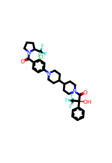 O=C(c1ccc(N2CCC(C3CCN(C(=O)[C@](O)(c4ccccc4)C(F)(F)F)CC3)CC2)cc1Cl)N1CCCC1C(F)(F)F